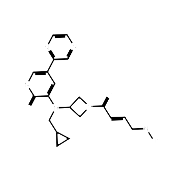 CC(C)NCC=CC(=O)N1CC(N(CC2CC2)c2cc(-c3cnccn3)c[nH]c2=O)C1